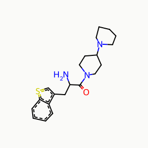 NC(Cc1csc2ccccc12)C(=O)N1CCC(N2CCCCC2)CC1